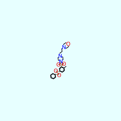 Cc1ccc(S(=O)(=O)c2ccccc2)cc1S(=O)(=O)N1CCN(CCCN2CCOCC2)CC1